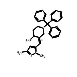 Cc1cc(/C=C2/CN(C(c3ccccc3)(c3ccccc3)c3ccccc3)CCC2O)n(C)n1